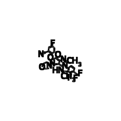 Cc1nc(NC(C)c2cccc(C(F)F)c2F)c2cn(N3CCOCC3)c(=O)c(Oc3cc(F)cc(C#N)c3)c2n1